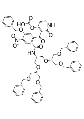 O=C(O)Oc1cc[nH]c(=O)c1C(=O)c1cc(OCc2ccccc2)c([N+](=O)[O-])cc1C(=O)NC(COC(COCc1ccccc1)COCc1ccccc1)COC(COCc1ccccc1)COCc1ccccc1